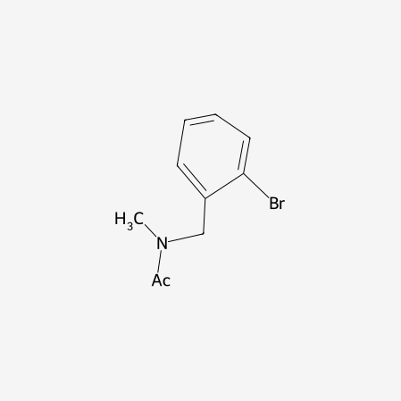 CC(=O)N(C)Cc1ccccc1Br